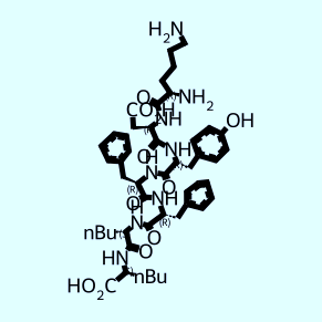 CCCC[C@H](NC(=O)[C@H](CCCC)NC(=O)[C@@H](Cc1ccccc1)NC(=O)[C@@H](Cc1ccccc1)NC(=O)[C@@H](Cc1ccc(O)cc1)NC(=O)[C@@H](CC(=O)O)NC(=O)[C@H](N)CCCCN)C(=O)O